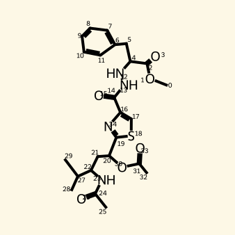 COC(=O)C(Cc1ccccc1)NNC(=O)c1csc(C(CC(NC(C)=O)C(C)C)OC(C)=O)n1